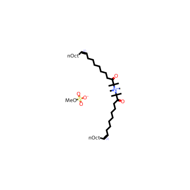 CCCCCCCC/C=C\CCCCCCCC(=O)C(C)(C)[N+](C)(C)C(C)(C)C(=O)CCCCCCC/C=C\CCCCCCCC.COS(=O)(=O)[O-]